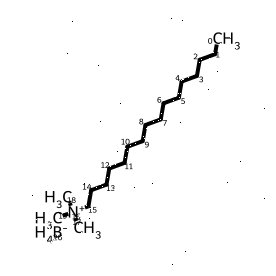 CCCCCCCCCCCCCCCC[N+](C)(C)C.[BH4-]